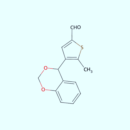 Cc1sc(C=O)cc1C1OCOc2ccccc21